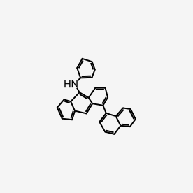 c1ccc(Nc2c3ccccc3cc3c(-c4cccc5ccccc45)cccc23)cc1